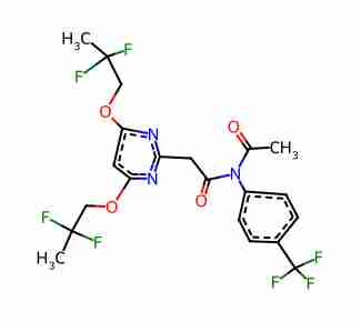 CC(=O)N(C(=O)Cc1nc(OCC(C)(F)F)cc(OCC(C)(F)F)n1)c1ccc(C(F)(F)F)cc1